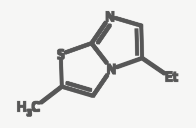 CCc1cnc2sc(C)cn12